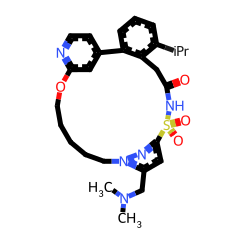 CC(C)c1cccc2c1CC(=O)NS(=O)(=O)c1cc(CN(C)C)n(n1)CCCCCOc1cc-2ccn1